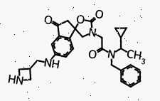 CC(C1CC1)N(Cc1ccccc1)C(=O)CN1CC2(CC(=O)c3cc(NCC4CNC4)ccc32)OC1=O